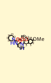 COc1ccc(CC(NC(=O)C(CC(C)C)NC(=O)N2CCCCCC2)C(=O)OC(C)(C)C)cc1